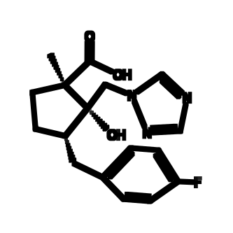 C[C@@]1(C(=O)O)CC[C@@H](Cc2ccc(F)cc2)[C@]1(O)Cn1cncn1